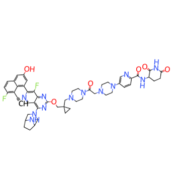 C#Cc1c(F)ccc2cc(O)cc(-c3ncc4c(N5CC6CCC(C5)N6)nc(OCC5(CN6CCN(C(=O)CN7CCN(c8ccc(C(=O)NC9CCC(=O)NC9=O)nc8)CC7)CC6)CC5)nc4c3F)c12